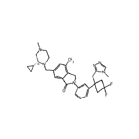 CN1CCN(Cc2cc3c(c(C(F)(F)F)c2)CN(c2cccc(C4(Cc5nncn5C)CC(F)(F)C4)c2)C3=O)[C@H](C2CC2)C1